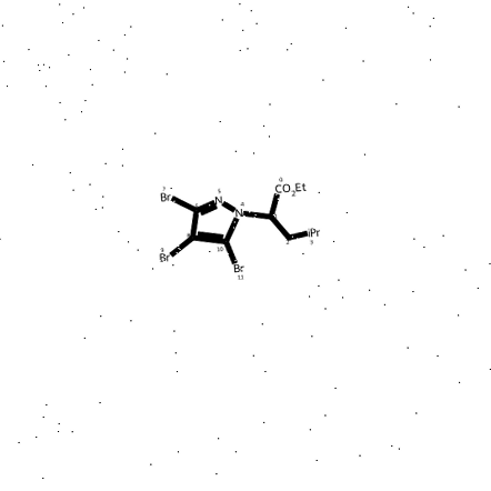 CCOC(=O)C(CC(C)C)n1nc(Br)c(Br)c1Br